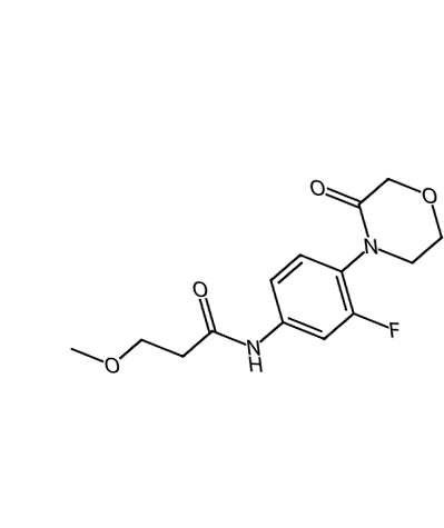 COCCC(=O)Nc1ccc(N2CCOCC2=O)c(F)c1